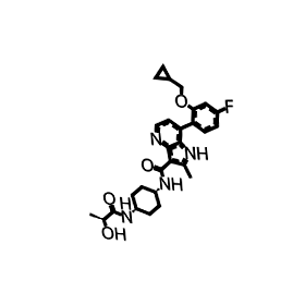 Cc1[nH]c2c(-c3ccc(F)cc3OCC3CC3)ccnc2c1C(=O)N[C@H]1CC[C@@H](NC(=O)[C@H](C)O)CC1